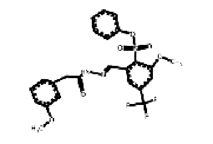 COc1cccc(CC(=O)NN=Cc2cc(C(F)(F)F)cc(OC)c2S(=O)(=O)Oc2ccccc2)c1